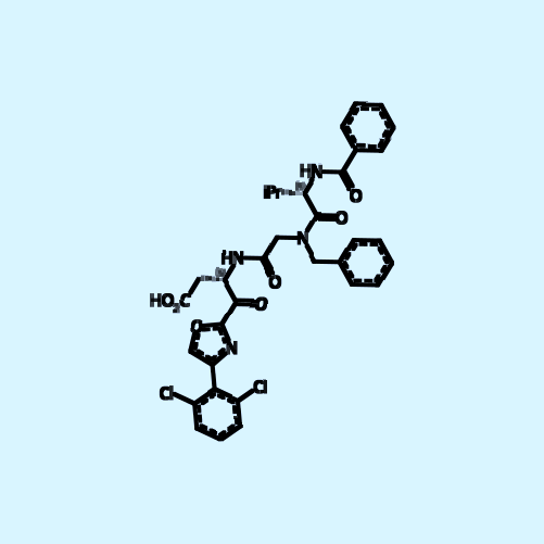 CC(C)[C@H](NC(=O)c1ccccc1)C(=O)N(CC(=O)N[C@@H](CC(=O)O)C(=O)c1nc(-c2c(Cl)cccc2Cl)co1)Cc1ccccc1